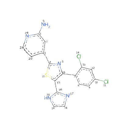 Nc1cc(-c2nc(-c3ccc(Cl)cc3Cl)c(-c3ncc[nH]3)s2)ccn1